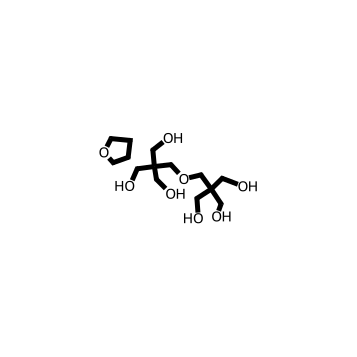 C1CCOC1.OCC(CO)(CO)COCC(CO)(CO)CO